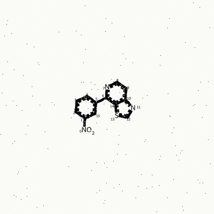 O=[N+]([O-])c1cccc(-c2nccc3ncsc23)c1